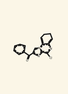 O=C(c1ccccc1)c1cn2c3c(nc(Cl)c2n1)=CCCC=3